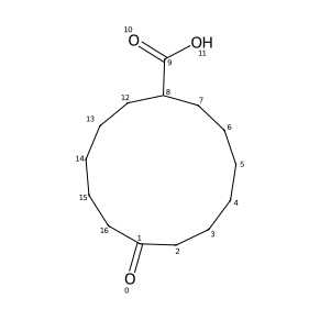 O=C1CCCCCCC(C(=O)O)CCCCC1